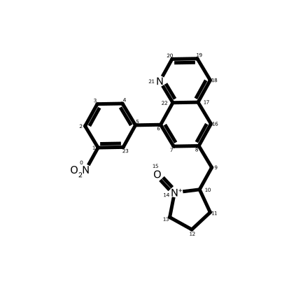 O=[N+]([O-])c1cccc(-c2cc(CC3CCC[N+]3=O)cc3cccnc23)c1